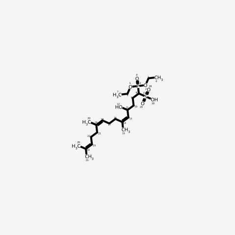 CCOP(=O)(OCC)C(CCC(O)C=C(C)CCC=C(C)CCC=C(C)C)S(=O)(=O)O